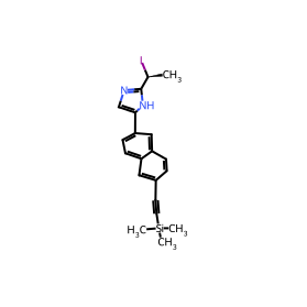 C[C@H](I)c1ncc(-c2ccc3cc(C#C[Si](C)(C)C)ccc3c2)[nH]1